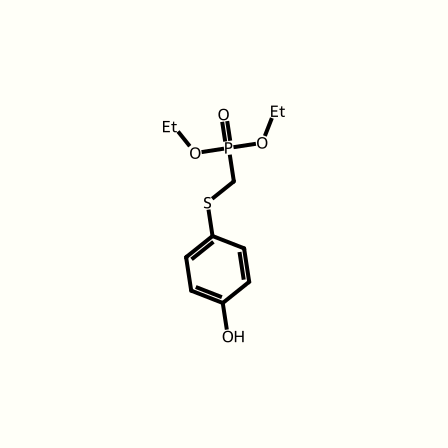 CCOP(=O)(CSc1ccc(O)cc1)OCC